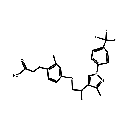 Cc1cc(SCC(C)c2cn(-c3ccc(C(F)(F)F)cc3)nc2C)ccc1CCC(=O)O